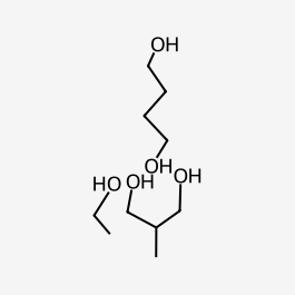 CC(CO)CO.CCO.OCCCCO